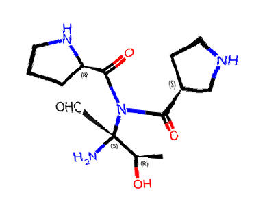 C[C@@H](O)[C@@](N)(C=O)N(C(=O)[C@H]1CCNC1)C(=O)[C@H]1CCCN1